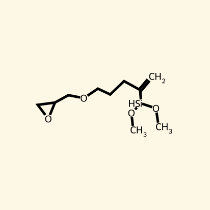 C=C(CCCOCC1CO1)[SiH](OC)OC